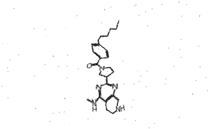 CCCCCc1ccc(C(=O)N2CCC(c3nc4c(c(NC)n3)CCNC4)C2)cc1